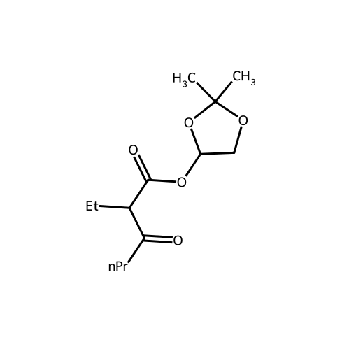 CCCC(=O)C(CC)C(=O)OC1COC(C)(C)O1